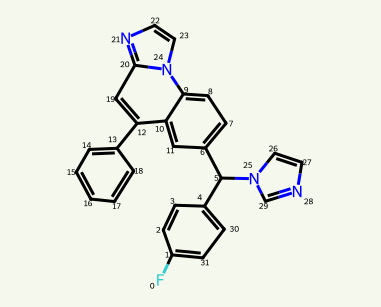 Fc1ccc(C(c2ccc3c(c2)c(-c2ccccc2)cc2nccn23)n2ccnc2)cc1